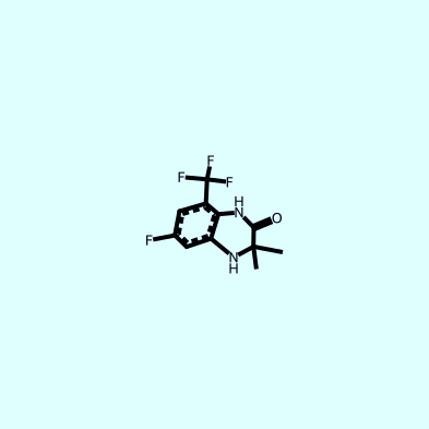 CC1(C)Nc2cc(F)cc(C(F)(F)F)c2NC1=O